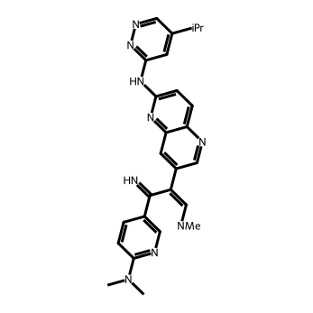 CN/C=C(\C(=N)c1ccc(N(C)C)nc1)c1cnc2ccc(Nc3cc(C(C)C)cnn3)nc2c1